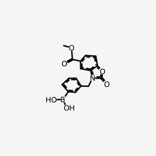 COC(=O)c1ccc2oc(=O)n(Cc3cccc(B(O)O)c3)c2c1